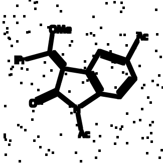 CO/C(=C1/C(=O)N(C(C)=O)c2ccc(C(C)=O)cc21)C(C)C